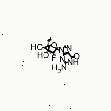 C=C[C@]12O[C@@H](n3cnc4c(=O)[nH]c(N)nc43)[C@H](F)[C@@]1(O)C2O